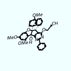 C#CCOc1nc(-c2ccccc2)nc2c1[C@@H](c1ccccc1)[C@]1(c3ccc(OC)cc3)Oc3cc(OC)cc(OC)c3[C@]21O